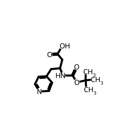 CC(C)(C)OC(=O)NC(CC(=O)O)Cc1ccncc1